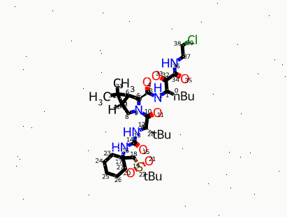 CCCCC(NC(=O)[C@@H]1C2[C@H](CN1C(=O)[C@@H](NC(=O)NC1(CS(=O)(=O)C(C)(C)C)CCCCC1)C(C)(C)C)C2(C)C)C(=O)C(=O)NCCCl